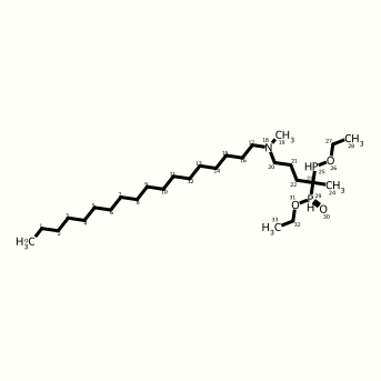 CCCCCCCCCCCCCCCCCCN(C)CCCC(C)(POCC)[PH](=O)OCC